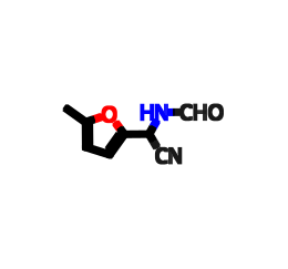 Cc1ccc(C(C#N)NC=O)o1